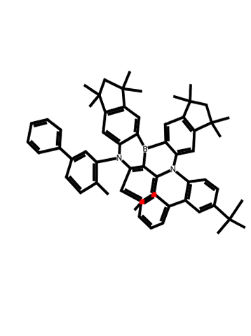 Cc1cc2c3c(c1)N(c1ccc(C(C)(C)C)cc1-c1ccccc1)c1cc4c(cc1B3c1cc3c(cc1N2c1cc(-c2ccccc2)ccc1C)C(C)(C)CC3(C)C)C(C)(C)CC4(C)C